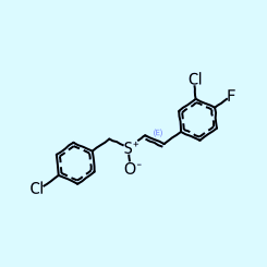 [O-][S+](/C=C/c1ccc(F)c(Cl)c1)Cc1ccc(Cl)cc1